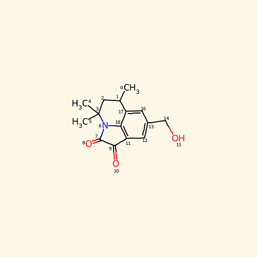 CC1CC(C)(C)N2C(=O)C(=O)c3cc(CO)cc1c32